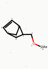 CSOCC1CC2C=CC1C2